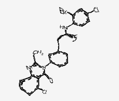 Cc1nc2cccc(Cl)c2c(=O)n1-c1cccc(CC(=S)Nc2ccc(Cl)cc2Br)c1